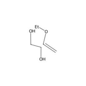 C=COCC.OCCO